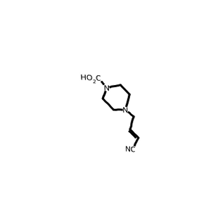 N#CC=CCN1CCN(C(=O)O)CC1